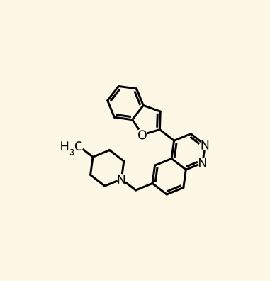 CC1CCN(Cc2ccc3nncc(-c4cc5ccccc5o4)c3c2)CC1